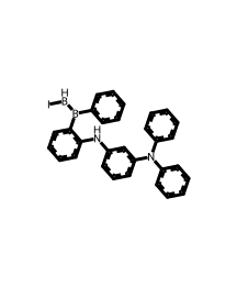 IBB(c1ccccc1)c1ccccc1Nc1cccc(N(c2ccccc2)c2ccccc2)c1